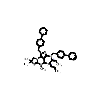 C=C/C=C\C(=C/C)N(Cc1ccc(-c2cc#ccc2)cc1)c1nn(Cc2ccc(-c3ccccc3)cc2)c2c1C(=O)N(C)C1=NC(C)(C)CN12